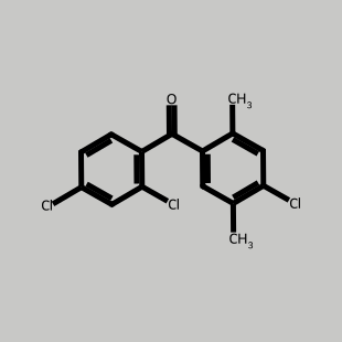 Cc1cc(C(=O)c2ccc(Cl)cc2Cl)c(C)cc1Cl